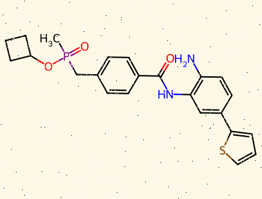 CP(=O)(Cc1ccc(C(=O)Nc2cc(-c3cccs3)ccc2N)cc1)OC1CCC1